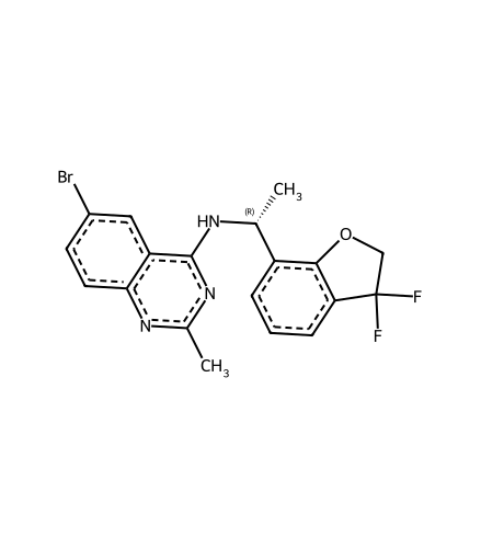 Cc1nc(N[C@H](C)c2cccc3c2OCC3(F)F)c2cc(Br)ccc2n1